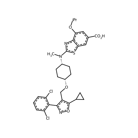 CC(C)Oc1cc(C(=O)O)cc2sc(N(C)[C@H]3CC[C@@H](OCc4c(-c5c(Cl)cccc5Cl)noc4C4CC4)CC3)nc12